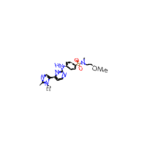 CCn1c(-c2ccnc(Nc3ccc(S(=O)(=O)N(C)CCOC)cc3)n2)cnc1C